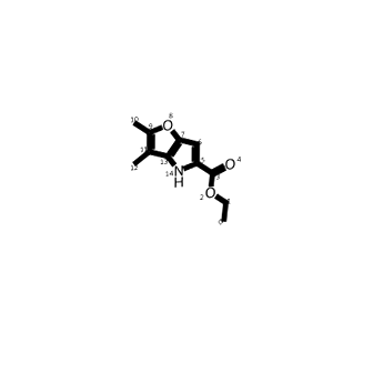 CCOC(=O)c1cc2oc(C)c(C)c2[nH]1